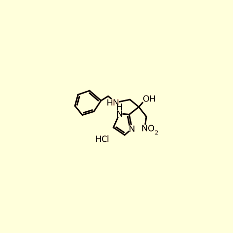 Cl.O=[N+]([O-])CC(O)(CNCc1ccccc1)c1ncc[nH]1